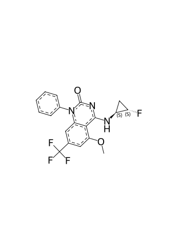 COc1cc(C(F)(F)F)cc2c1c(N[C@H]1C[C@@H]1F)nc(=O)n2-c1ccccc1